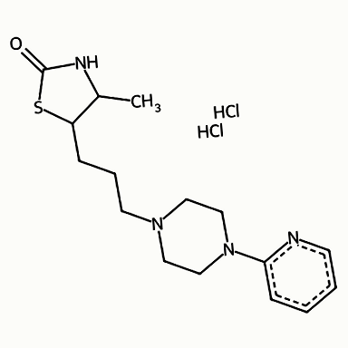 CC1NC(=O)SC1CCCN1CCN(c2ccccn2)CC1.Cl.Cl